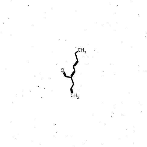 C=CCC(C=O)=CC=CCC